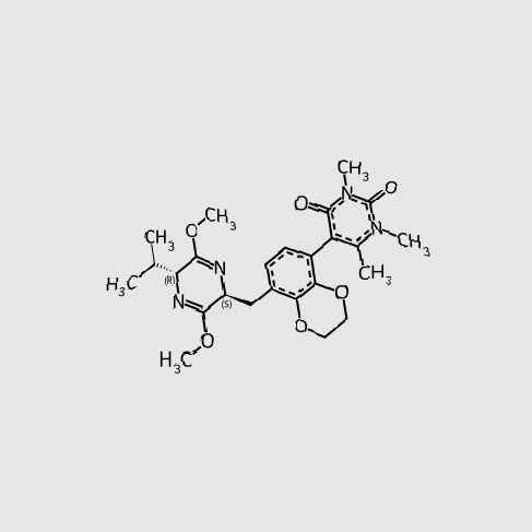 COC1=N[C@H](C(C)C)C(OC)=N[C@H]1Cc1ccc(-c2c(C)n(C)c(=O)n(C)c2=O)c2c1OCCO2